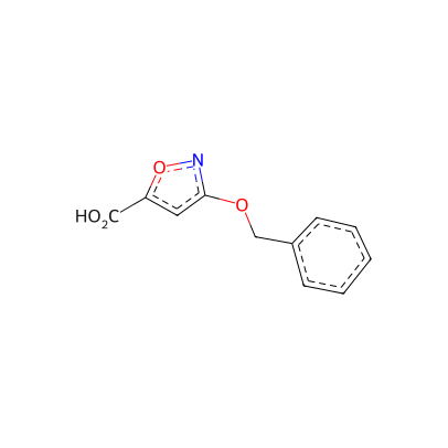 O=C(O)c1cc(OCc2ccccc2)no1